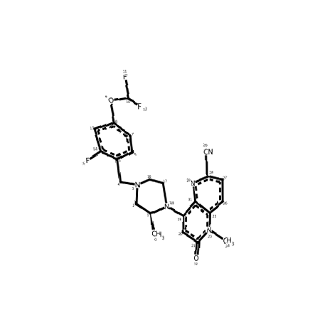 C[C@H]1CN(Cc2ccc(OC(F)F)cc2F)CCN1c1cc(=O)n(C)c2ccc(C#N)nc12